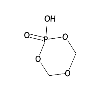 O=P1(O)OCOCO1